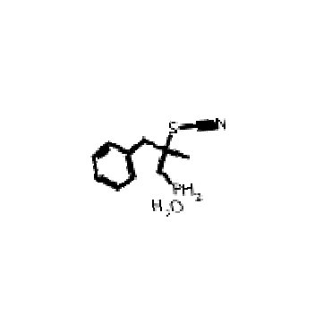 CC(CP)(Cc1ccccc1)SC#N.O